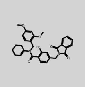 COc1ccc(CN(C(=O)c2ccc(CN3C(=O)c4ccccc4C3=O)cc2Br)C2=CCCCC2)c(OC)c1